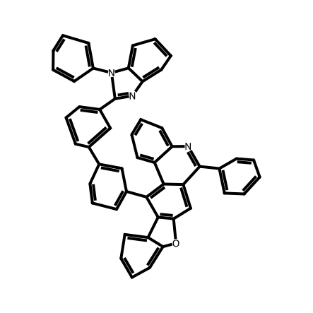 c1ccc(-c2nc3ccccc3c3c(-c4cccc(-c5cccc(-c6nc7ccccc7n6-c6ccccc6)c5)c4)c4c(cc23)oc2ccccc24)cc1